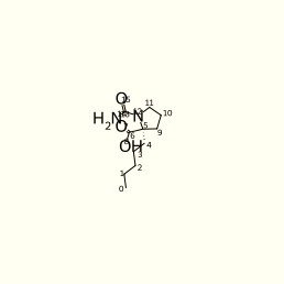 CCCCC[C@@]1(C(=O)O)CCCN1C(N)=O